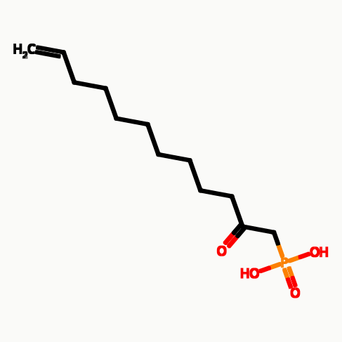 C=CCCCCCCCCC(=O)CP(=O)(O)O